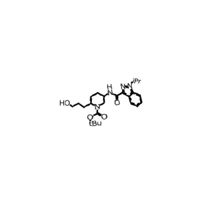 CC(C)n1nc(C(=O)NC2CCC(CCCO)N(C(=O)OC(C)(C)C)C2)c2ccccc21